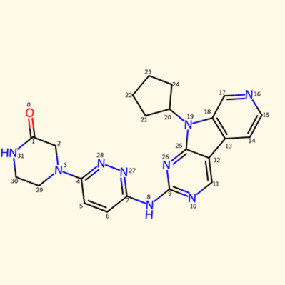 O=C1CN(c2ccc(Nc3ncc4c5ccncc5n(C5CCCC5)c4n3)nn2)CCN1